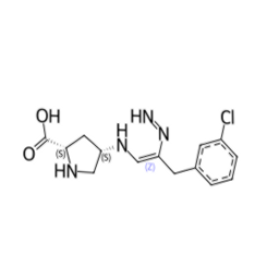 N=N/C(=C\N[C@@H]1CN[C@H](C(=O)O)C1)Cc1cccc(Cl)c1